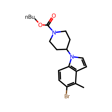 CCCCOC(=O)N1CCC(n2ccc3c(C)c(Br)ccc32)CC1